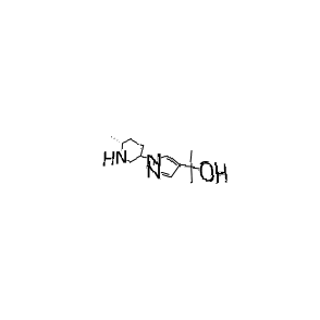 C[C@@H]1CC[C@@H](n2cc(C(C)(C)O)cn2)CN1